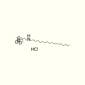 CCCCCCCCCCCCCCCCCCNCCC(C)(C)[Si](OC)(OC)OC.Cl